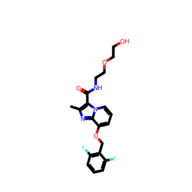 Cc1nc2c(OCc3c(F)cccc3F)cccn2c1C(=O)NCCOCCO